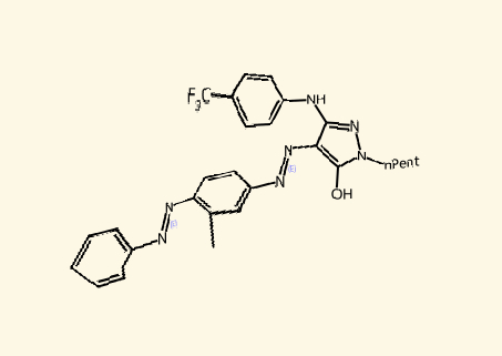 CCCCCn1nc(Nc2ccc(C(F)(F)F)cc2)c(/N=N/c2ccc(/N=N/c3ccccc3)c(C)c2)c1O